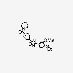 CCOc1ccc(-c2noc(C3CCN(C(=O)N4CCCCC4)CC3)n2)cc1OC